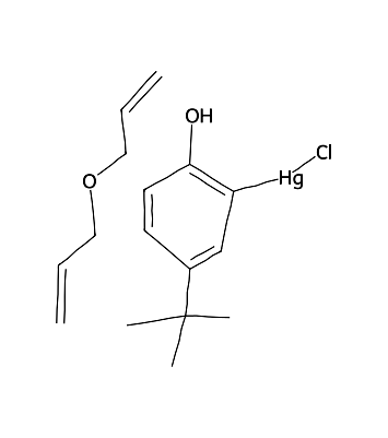 C=CCOCC=C.CC(C)(C)c1ccc(O)[c]([Hg][Cl])c1